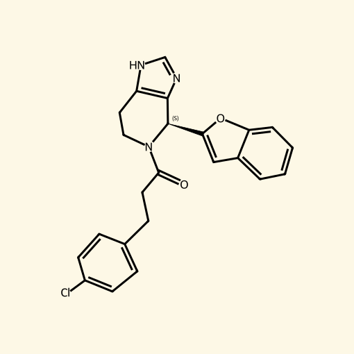 O=C(CCc1ccc(Cl)cc1)N1CCc2[nH]cnc2[C@H]1c1cc2ccccc2o1